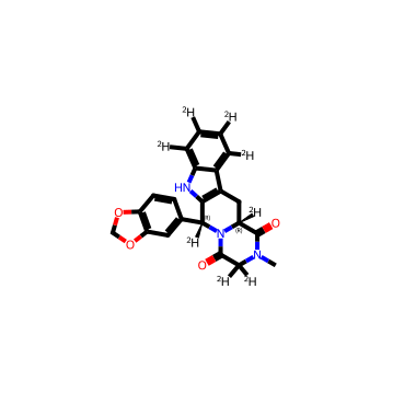 [2H]c1c([2H])c([2H])c2c3c([nH]c2c1[2H])[C@@]([2H])(c1ccc2c(c1)OCO2)N1C(=O)C([2H])([2H])N(C)C(=O)[C@@]1([2H])C3